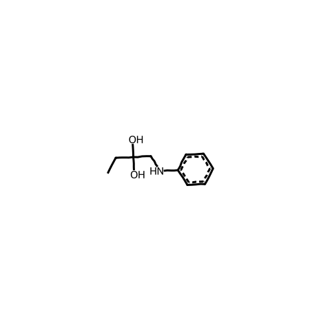 CCC(O)(O)CNc1ccccc1